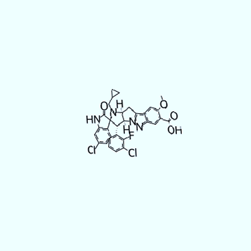 COc1cc2c3n(nc2cc1C(=O)O)[C@@H]1[C@H](C3)N(CC2CC2)[C@@]2(C(=O)Nc3cc(Cl)ccc32)[C@H]1c1cccc(Cl)c1F